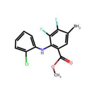 Bc1cc(C(=O)OC)c(Nc2ccccc2Cl)c(F)c1F